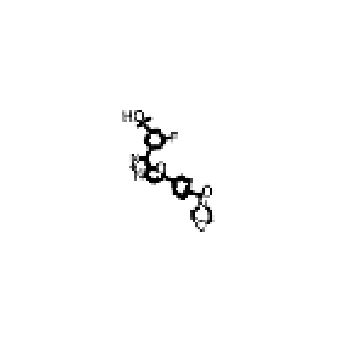 CC(C)(O)c1cc(F)cc(-c2ncnc3cc(-c4ccc(C(=O)N5CCOCC5)cc4)oc23)c1